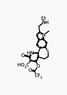 CCNCc1cc2cc3c(cc2n1C)SCCc1c-3[nH]c(=O)c(C(=O)O)c1OC(=O)C(F)(F)F